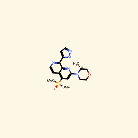 COP(=O)(OC)c1cc(N2CCOC[C@H]2C)nc2c(-c3ccn[nH]3)nccc12